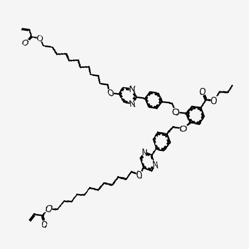 C=CC(=O)OCCCCCCCCCCCCOc1cnc(-c2ccc(COc3ccc(C(=O)OCCC)cc3OCc3ccc(-c4ncc(OCCCCCCCCCCCCOC(=O)C=C)cn4)cc3)cc2)nc1